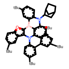 Cc1cc2c3c(c1)N(C1CC4CCC1C4)c1ccc(C(C)(C)C)cc1B3c1oc3ccc(C(C)(C)C)cc3c1N2c1ccc(C(C)(C)C)cc1-c1cc(C(C)(C)C)cc(C(C)(C)C)c1